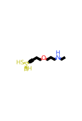 CCNCCCOCCC#C[SH](S)S